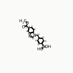 COC(=O)c1ccc2c(c1)ncn2Cc1ccc(B(O)O)cc1